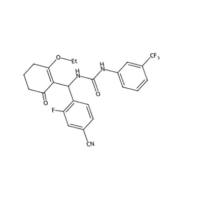 CCOC1=C(C(NC(=O)Nc2cccc(C(F)(F)F)c2)c2ccc(C#N)cc2F)C(=O)CCC1